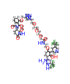 N=C(/C=C(\N)c1ccc(OCCNC(=O)COCCOCCOCCn2cc(COc3cccc4c3C(=O)N(C3CCC(=O)NC3=O)C4=O)nn2)c(-c2cncc(C(F)(F)F)c2)c1O)C(F)(F)F